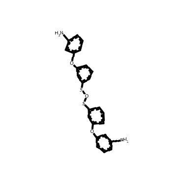 Nc1cccc(Oc2cccc(SOSc3cccc(Oc4cccc(N)c4)c3)c2)c1